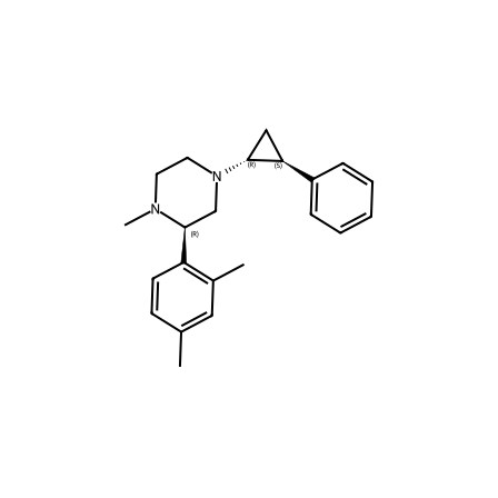 Cc1ccc([C@@H]2CN([C@@H]3C[C@H]3c3ccccc3)CCN2C)c(C)c1